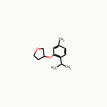 Cc1ccc(C(C)C)c(OC2CCOC2)c1